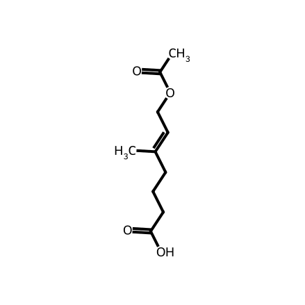 CC(=O)OC/C=C(\C)CCCC(=O)O